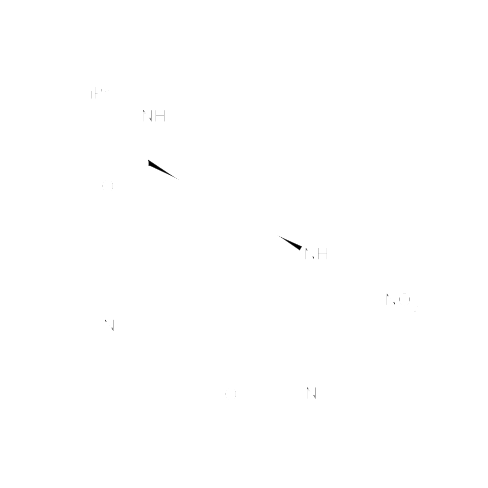 CC(C)NC(=O)[C@H]1CC[C@@H](Nc2cc(OC3CCN(C)CC3)ncc2[N+](=O)[O-])CC1